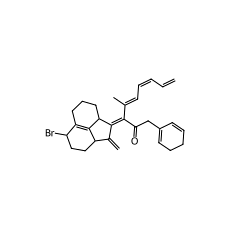 C=C\C=C/C=C(C)/C(C(=O)CC1=CCCC=C1)=C1/C(=C)C2CCC(Br)C3=C2C1CCC3